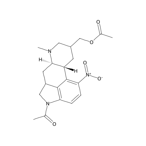 CC(=O)OCC1C[C@@H]2c3c([N+](=O)[O-])ccc4c3C(C[C@H]2N(C)C1)CN4C(C)=O